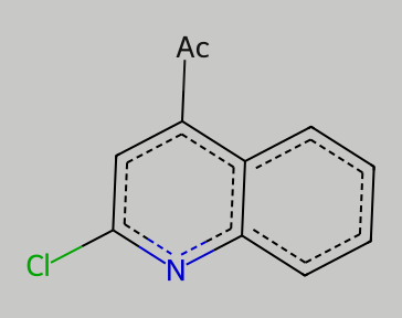 CC(=O)c1cc(Cl)nc2ccccc12